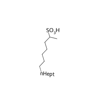 CCCCCCCCCCCCC(C)S(=O)(=O)O